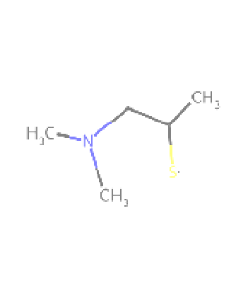 CC([S])CN(C)C